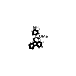 COC(=O)N(CC1c2ccccc2-c2ccccc21)c1ccc(N)cc1